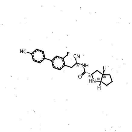 N#Cc1ccc(-c2ccc(C[C@@H](C#N)NC(=O)[C@@H]3C[C@@H]4CCC[C@@H]4N3)c(F)c2)cc1